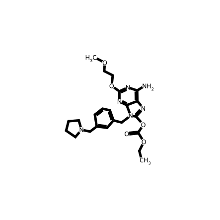 CCOC(=O)Oc1nc2c(N)nc(OCCOC)nc2n1Cc1cccc(CN2CCCC2)c1